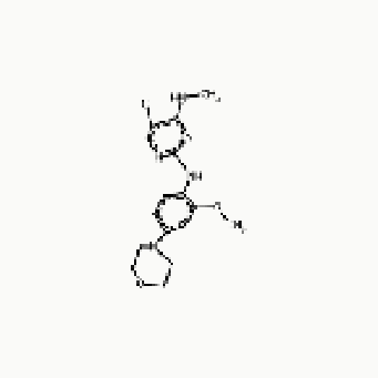 CNc1nc(Nc2ccc(N3CCOCC3)cc2OC)ncc1Cl